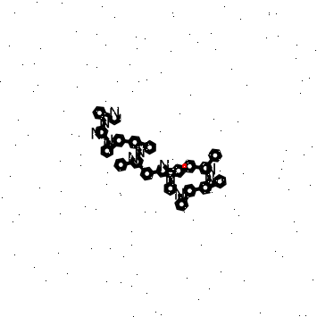 c1ccc(-c2cc(-c3ccccc3)nc(-n3c4ccccc4c4ccc(-c5ccc6c(c5)c5ccccc5n6-c5cccc(-n6c7ccccc7c7ncc(-c8cccc(-c9cc(-c%10ccccc%10)nc(-n%10c%11ccccc%11c%11ccc(-c%12ccc%13c(c%12)c%12ccccc%12n%13-c%12cncc(-n%13c%14ccccc%14c%14ncccc%14%13)c%12)cc%11%10)c9)c8)cc76)c5)cc43)c2)cc1